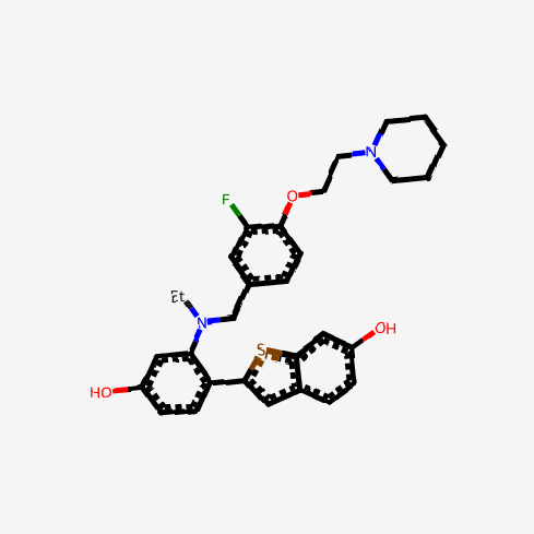 CCN(Cc1ccc(OCCN2CCCCC2)c(F)c1)c1cc(O)ccc1-c1cc2ccc(O)cc2s1